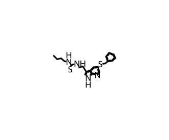 CCCCNC(=S)NCCc1c[nH]c2ncc(SCc3ccccc3)cc12